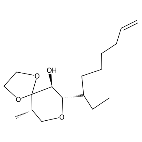 C=CCCCCC(CC)[C@@H]1OC[C@H](C)C2(OCCO2)[C@H]1O